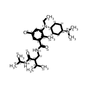 CCN(c1cc(Cl)cc(C(=O)NCC(C(=O)NC(C)C)C(C)C)c1C)[C@H]1CC[C@H](N(C)C)CC1